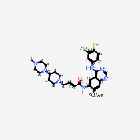 COc1cc2ncnc(Nc3ccc(F)c(Cl)c3)c2cc1NC(=O)/C=C/CN1CCC(N2CCN(C)CC2)CC1